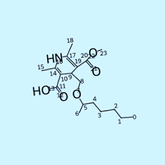 CCCCCC(C)OCC1C(C(=O)O)=C(C)NC(C)=C1C(=O)OC